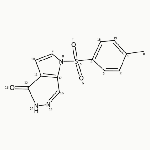 Cc1ccc(S(=O)(=O)n2ccc3c(=O)[nH]ncc32)cc1